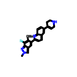 COc1c(-c2ccc3cc(C4=CCNCC4)ccc3n2)cc2cn(C)nc2c1F